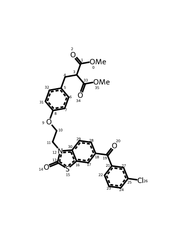 COC(=O)C(Cc1ccc(OCCn2c(=O)sc3cc(C(=O)c4cccc(Cl)c4)ccc32)cc1)C(=O)OC